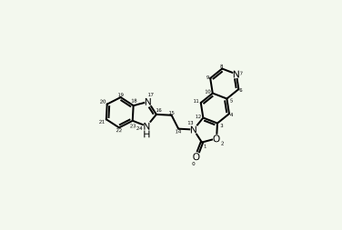 O=c1oc2cc3cnccc3cc2n1CCc1nc2ccccc2[nH]1